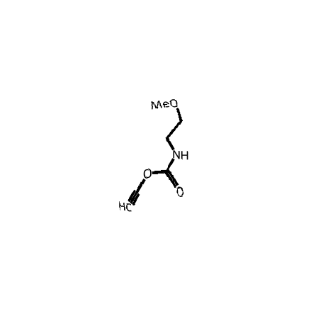 C#COC(=O)NCCOC